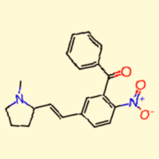 CN1CCCC1/C=C/c1ccc([N+](=O)[O-])c(C(=O)c2ccccc2)c1